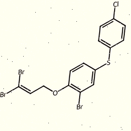 Clc1ccc(Sc2ccc(OCC=C(Br)Br)c(Br)c2)cc1